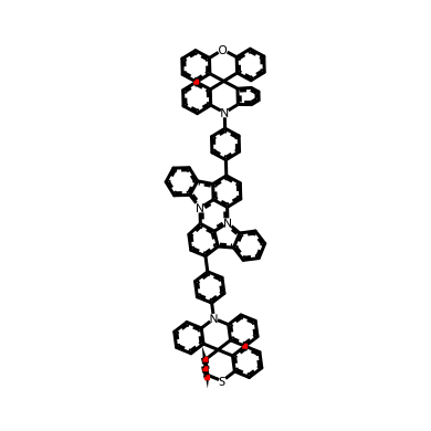 c1ccc2c(c1)Oc1ccccc1C21c2ccccc2N(c2ccc(-c3ccc4c5c3c3ccccc3n5c3ccc(-c5ccc(N6c7ccccc7C7(c8ccccc8Sc8ccccc87)c7ccccc76)cc5)c5c6ccccc6n4c53)cc2)c2ccccc21